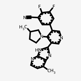 Cc1ccnc2[nH]c(-c3cncc(-c4cc(F)c(F)c(C#N)c4)c3N3CCC(C)C3)nc12